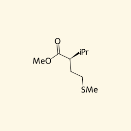 COC(=O)[C@H](CCSC)C(C)C